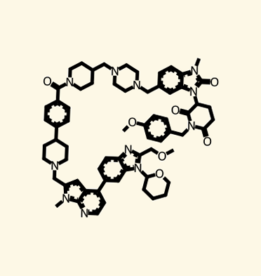 COCc1nc2ccc(-c3ccnc4c3cc(CN3CCC(c5ccc(C(=O)N6CCC(CN7CCN(Cc8ccc9c(c8)n(C8CCC(=O)N(Cc%10ccc(OC)cc%10)C8=O)c(=O)n9C)CC7)CC6)cc5)CC3)n4C)cc2n1C1CCCCO1